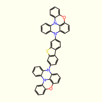 c1ccc2c(c1)Oc1cccc3c1N2c1ccccc1N3c1ccc2c(c1)sc1cc(N3c4ccccc4N4c5ccccc5Oc5cccc3c54)ccc12